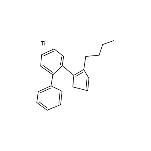 CCCCC1=C(c2ccccc2-c2ccccc2)CC=C1.[Ti]